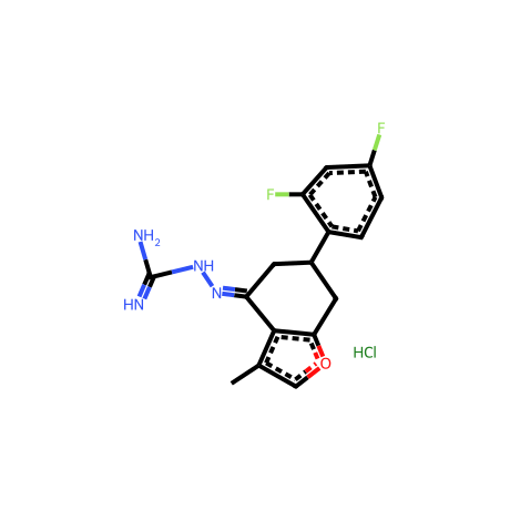 Cc1coc2c1/C(=N/NC(=N)N)CC(c1ccc(F)cc1F)C2.Cl